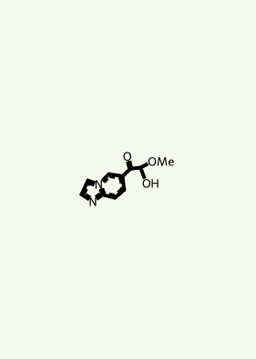 COC(O)C(=O)c1ccc2nccn2c1